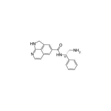 NC[C@@H](NC(=O)c1cc2c3c(nccc3c1)NC2)c1ccccc1